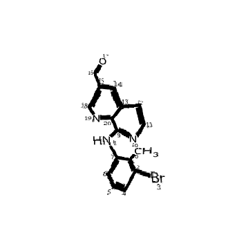 Cc1c(Br)cccc1Nc1nccc2cc(C=O)cnc12